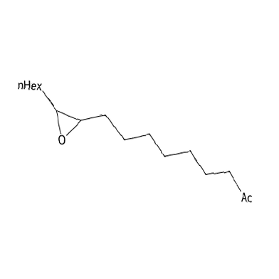 CCCCCCC1OC1CCCCCCCC(C)=O